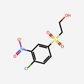 O=[N+]([O-])c1cc(S(=O)(=O)CCO)ccc1Cl